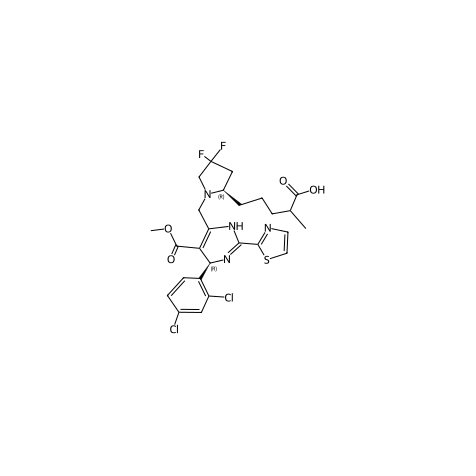 COC(=O)C1=C(CN2CC(F)(F)C[C@H]2CCCC(C)C(=O)O)NC(c2nccs2)=N[C@H]1c1ccc(Cl)cc1Cl